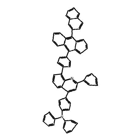 c1ccc(-c2cc(-c3ccc(N(c4ccccc4)c4ccccc4)cc3)c3cccc(-c4ccc(-c5c6ccccc6c(-c6ccc7ccccc7c6)c6ccccc56)cc4)c3n2)cc1